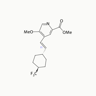 COC(=O)c1cc(/C=C/[C@H]2CC[C@H](C(F)(F)F)CC2)c(OC)cn1